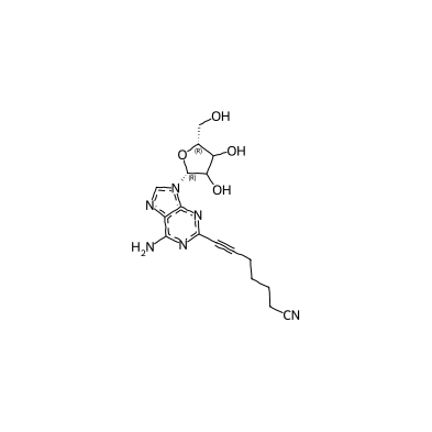 N#CCCCCC#Cc1nc(N)c2ncn([C@@H]3O[C@H](CO)C(O)C3O)c2n1